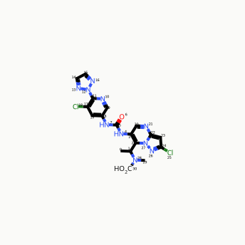 CC(c1c(NC(=O)Nc2cnc(-n3nccn3)c(Cl)c2)cnc2cc(Cl)nn12)N(C)C(=O)O